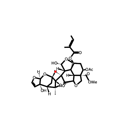 C/C=C(\C)C(=O)O[C@H]1C[C@@H](OC(C)=O)[C@@]2(C(=O)OC)CO[C@H]3[C@@H](O)[C@@](C)([C@]45O[C@@]4(C)[C@H]4C[C@@H]5O[C@@H]5OC=C[C@@]54O)[C@@H]4[C@H](O)OC[C@@]14[C@@H]32